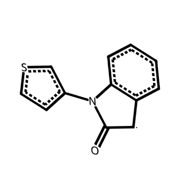 O=C1[CH]c2ccccc2N1c1ccsc1